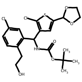 CC(C)(C)OC(=O)NC(c1cc(Cl)ccc1CCO)c1cc(C2OCCO2)sc1Cl